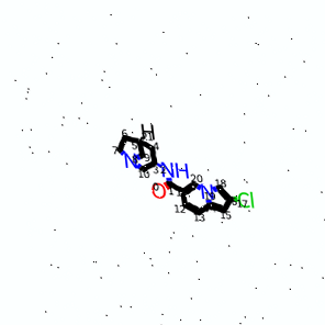 O=C(N[C@@H]1C[C@@H]2CCN(C2)C1)c1ccc2cc(Cl)cn2c1